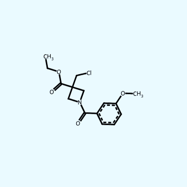 CCOC(=O)C1(CCl)CN(C(=O)c2cccc(OC)c2)C1